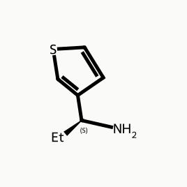 CC[C@H](N)c1ccsc1